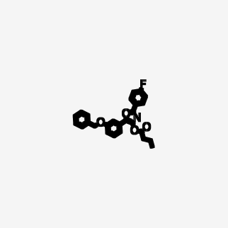 CCCC(=O)Oc1nc(-c2ccc(F)cc2)oc1-c1cccc(OCc2ccccc2)c1